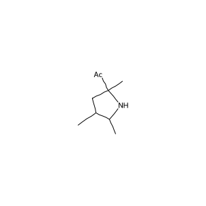 CC(=O)C1(C)CC(C)C(C)N1